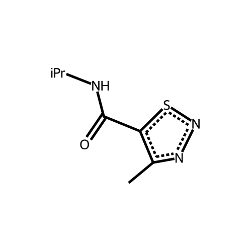 Cc1nnsc1C(=O)NC(C)C